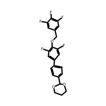 Fc1cc(COc2c(F)cc(-c3ccc(C4OCCCO4)cc3)cc2F)cc(F)c1F